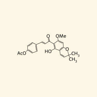 COc1cc2c(c(O)c1C(=O)/C=C/c1ccc(OC(C)=O)cc1)C=CC(C)(C)O2